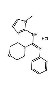 Cl.Cn1ccnc1N/C(=N/c1ccccc1)N1CCOCC1